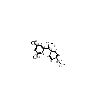 [C-]#[N+]c1ccc(C(C)c2cc(Cl)cc(Cl)c2)cc1